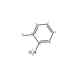 [CH2]c1cc[c]cc1[N+](=O)[O-]